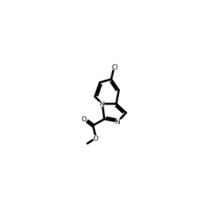 COC(=O)c1ncc2cc(Cl)ccn12